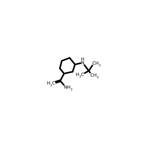 C=C(N)C1CCCC(NC(C)(C)C)C1